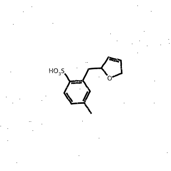 Cc1ccc(S(=O)(=O)O)c(CC2C=CCO2)c1